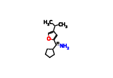 CC(C)c1coc([C@H](N)C2CCCC2)c1